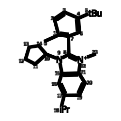 Cc1ccc(C(C)(C)C)cc1-c1n(C2CCCC2)c2cc(C(C)C)ccc2[n+]1C